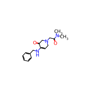 CN(C)C(=O)CN1CC=C(NCc2ccccc2)C(=O)C1